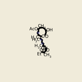 CC[C@@H](O)[C@@H](C)[C@H]1O[C@@H]1CC(C)(O)/C=C/C=C(\C)[C@H]1OC(=O)C[C@@H](O)CC[C@@H](C)[C@@H](OC(C)=O)/C=C/[C@@H]1C